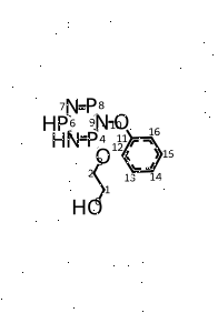 OCCOp1[nH][pH]npn1Oc1ccccc1